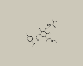 CCON=C(C)c1cn(CC(=O)c2cc(F)ccc2OC)c(=O)n(CCNC(=O)C(C)C)c1=O